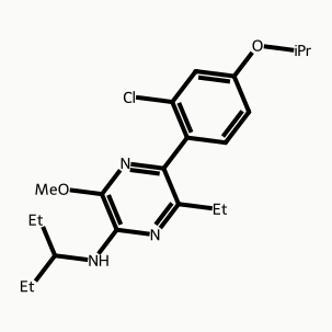 CCc1nc(NC(CC)CC)c(OC)nc1-c1ccc(OC(C)C)cc1Cl